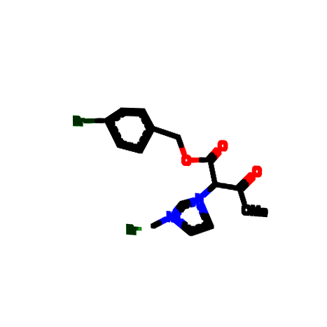 COC(=O)C(C(=O)OCc1ccc(Br)cc1)n1cc[n+](C)c1.[Br-]